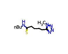 CCCCNC(=S)CCCCc1nnnn1C